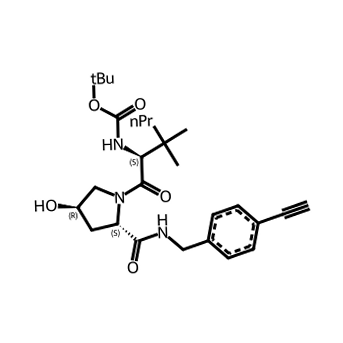 C#Cc1ccc(CNC(=O)[C@@H]2C[C@@H](O)CN2C(=O)[C@@H](NC(=O)OC(C)(C)C)C(C)(C)CCC)cc1